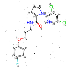 O=C(NCCCOc1ccc(F)cc1)c1cccn1-c1ncc(Cl)cc1Cl